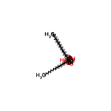 CCCCCCCCCCCCCCCCCC=CC(=O)C(O)(C(O)C(=O)CCCCCCCCCCCCCCCCCCC)C1(O)C(=O)CCC1=O